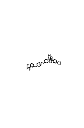 O=S(=O)(NC1CCC(CCN2CCC(Cc3cccc(C(F)(F)F)c3)CC2)CC1)c1ccc(Cl)cc1